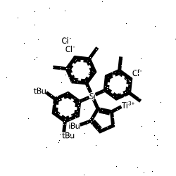 CCC(C)C1=CC[C]([Ti+3])=C1[Si](c1cc(C)cc(C)c1)(c1cc(C)cc(C)c1)c1cc(C(C)(C)C)cc(C(C)(C)C)c1.[Cl-].[Cl-].[Cl-]